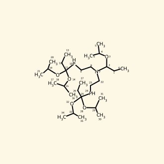 CCC(OC(C)C)N(CCPC(CC)(OC(C)C)OC(C)C)CCPC(CC)(OC(C)C)OC(C)C